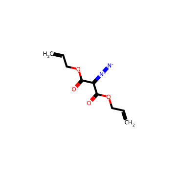 C=CCOC(=O)C(=[N+]=[N-])C(=O)OCC=C